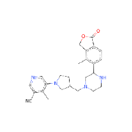 Cc1c(C#N)cncc1N1CCC(CN2CCNC(c3ccc4c(c3C)COC4=O)C2)C1